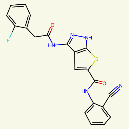 N#Cc1ccccc1NC(=O)c1cc2c(NC(=O)Cc3ccccc3F)n[nH]c2s1